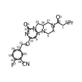 CC(C)CC(=O)N1CCN2c3cc(OCc4ccc(F)c(C#N)c4)nc(=O)n3CC2C1